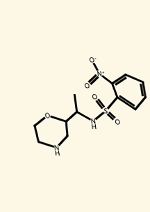 CC(NS(=O)(=O)c1ccccc1[N+](=O)[O-])C1CNCCO1